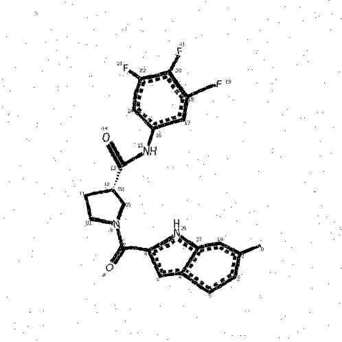 Cc1ccc2cc(C(=O)N3CC[C@H](C(=O)Nc4cc(F)c(F)c(F)c4)C3)[nH]c2c1